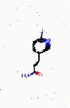 NC(=O)/C=C/c1ccc(I)nc1